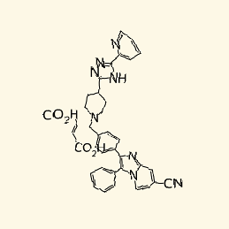 N#Cc1ccn2c(-c3ccccc3)c(-c3ccc(CN4CCC(c5nnc(-c6ccccn6)[nH]5)CC4)cc3)nc2c1.O=C(O)C=CC(=O)O